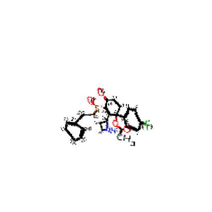 CC(=O)OC1(c2ccc(F)cc2)C=CC(=O)C([S+]([O-])CCc2ccccc2)=C1C1CCN1